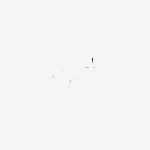 CC(C)(C)OC(=O)N1CC[C@@](C)(F)C1